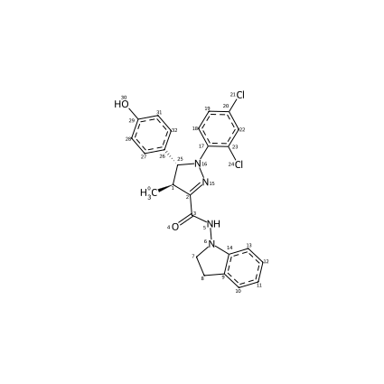 C[C@@H]1C(C(=O)NN2CCc3ccccc32)=NN(c2ccc(Cl)cc2Cl)[C@H]1c1ccc(O)cc1